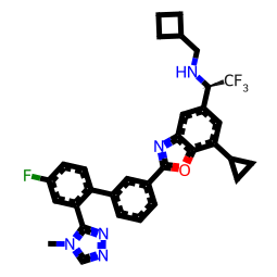 Cn1cnnc1-c1cc(F)ccc1-c1cccc(-c2nc3cc([C@@H](NCC4CCC4)C(F)(F)F)cc(C4CC4)c3o2)c1